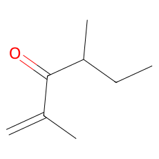 C=C(C)C(=O)C(C)CC